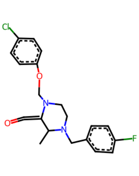 CC1C(=C=O)N(COc2ccc(Cl)cc2)CCN1Cc1ccc(F)cc1